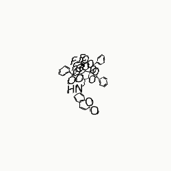 O=C(OC1OC(CNc2ccc3ccc(=O)oc3c2)[C@@H](OC(=O)c2ccccc2)C(OC(=O)c2ccccc2)[C@H]1OS(=O)(=O)C(F)(F)F)c1ccccc1